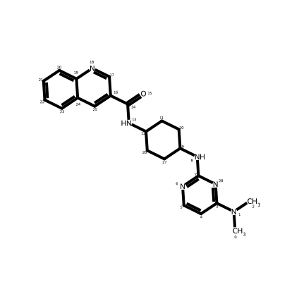 CN(C)c1ccnc(NC2CCC(NC(=O)c3cnc4ccccc4c3)CC2)n1